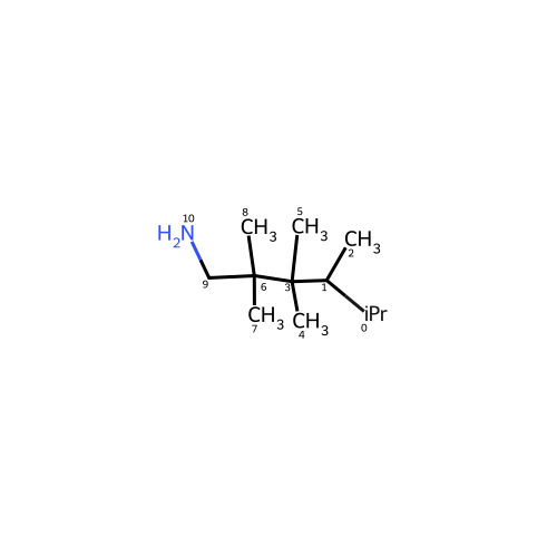 CC(C)C(C)C(C)(C)C(C)(C)CN